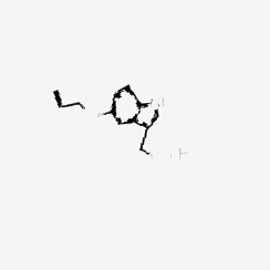 C=CCOc1ccc2[nH]cc(CC(=O)O)c2c1